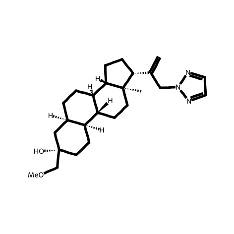 C=C(Cn1nccn1)[C@H]1CC[C@H]2[C@@H]3CC[C@@H]4C[C@](O)(COC)CC[C@@H]4[C@H]3CC[C@]12C